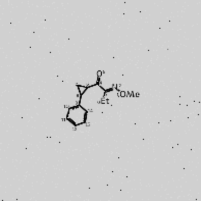 CC/C(=N\OC)C(=O)C1CC1c1ccccc1